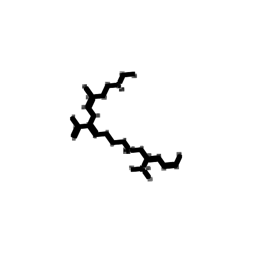 C=C(C)/C(=C/CCCPC/C(=C/C=C\C)N(C)C)C/C=C(/C)CCSCC